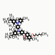 CCCCCCOc1c(C)ccc2c(OC)c(-c3ccc(N(c4ccc(N(c5ccc(C)cc5)c5c(C)cc(C(C)(C)C)cc5C)cc4)c4c(C)cc(C(C)(C)C)cc4C)cc3)ccc12